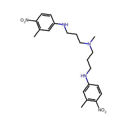 Cc1cc(NCCCN(C)CCCNc2ccc([N+](=O)[O-])c(C)c2)ccc1[N+](=O)[O-]